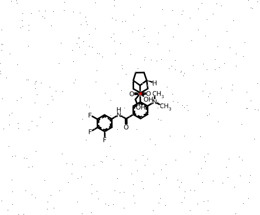 CN(C)c1ccc(C(=O)Nc2cc(F)c(F)c(F)c2)cc1S(=O)(=O)C1C2CC[C@@H]1CC(O)(CO)C2